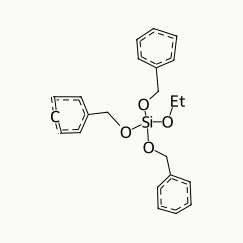 CCO[Si](OCc1ccccc1)(OCc1ccccc1)OCc1ccccc1